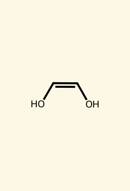 O/C=C\O